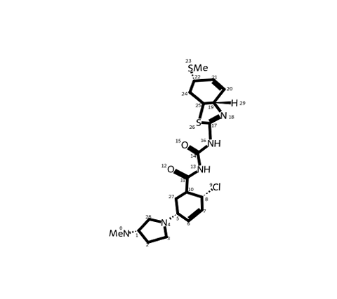 CN[C@H]1CCN([C@H]2C=C[C@@H](Cl)C(C(=O)NC(=O)NC3=N[C@H]4C=C[C@@H](SC)CC4S3)C2)C1